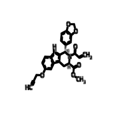 C#CCOc1ccc2[nH]c3c(c2c1)C[C@H](C(=O)OC)N(C(=O)C=C)[C@H]3c1ccc2c(c1)OCO2